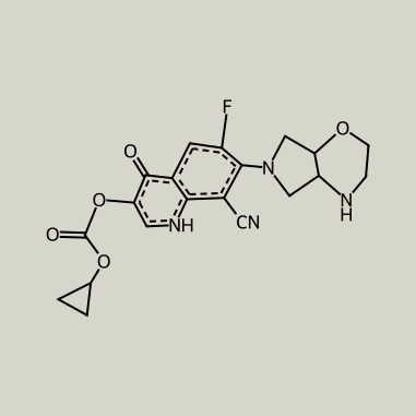 N#Cc1c(N2CC3NCCOC3C2)c(F)cc2c(=O)c(OC(=O)OC3CC3)c[nH]c12